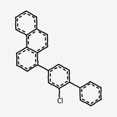 Clc1cc(-c2cccc3c2ccc2ccccc23)ccc1-c1ccccc1